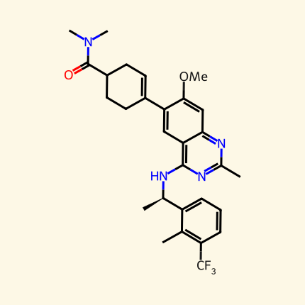 COc1cc2nc(C)nc(N[C@H](C)c3cccc(C(F)(F)F)c3C)c2cc1C1=CCC(C(=O)N(C)C)CC1